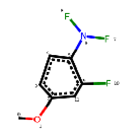 COc1ccc(N(F)F)c(F)c1